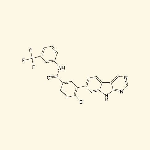 O=C(Nc1cccc(C(F)(F)F)c1)c1ccc(Cl)c(-c2ccc3c(c2)[nH]c2ncncc23)c1